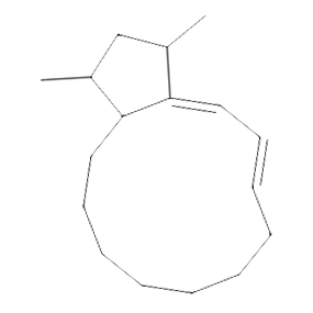 CC1CC(C)C2CCCCCCC/C=C/C=C/12